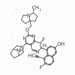 C#Cc1c(F)ccc2cc(O)cc(C(=C)/N=C\c3c(CF)nc(OCC45CCCN4[C@@H](C)CC5)nc3N3CC4CCC(C3)N4)c12